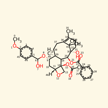 COc1ccc(C(O)O[C@H]2C[C@H]3OC[C@@]3(OC(C)=O)C3[C@H](OC(=O)c4ccccc4)[C@]4(O)CCC(C)=C(CC[C@@]32C)C4(C)C)cc1